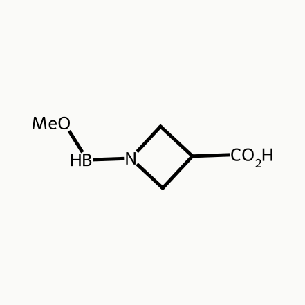 COBN1CC(C(=O)O)C1